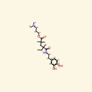 CCC(C)(CC(C)(C)C(=O)OCCCN(C)C)C(=O)NCCc1ccc(O)c(O)c1